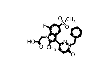 Cc1c(-c2ccc(=O)n(Cc3ccccc3)n2)c2cc(S(C)(=O)=O)cc(F)c2n1CC(=O)O